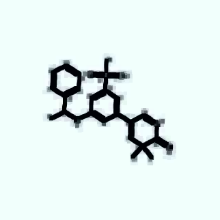 CC(Oc1cc(C2=CC(C)(C)C(=O)N=C2)cc(S(C)(=O)=O)c1)c1ccccc1